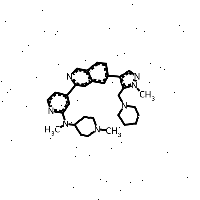 CN1CCC(N(C)c2cc(-c3cc4cc(-c5cnn(C)c5CN5CCCCC5)ccc4cn3)ccn2)CC1